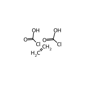 C=C.O=C(O)Cl.O=C(O)Cl